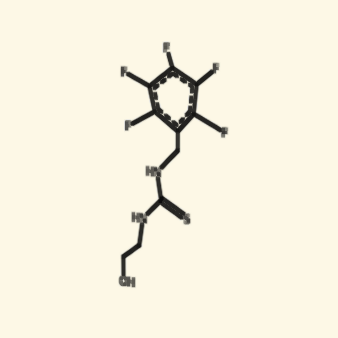 OCCNC(=S)NCc1c(F)c(F)c(F)c(F)c1F